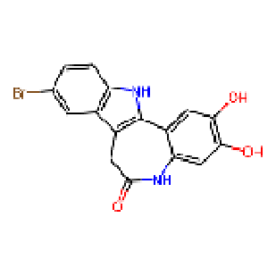 O=C1Cc2c([nH]c3ccc(Br)cc23)-c2cc(O)c(O)cc2N1